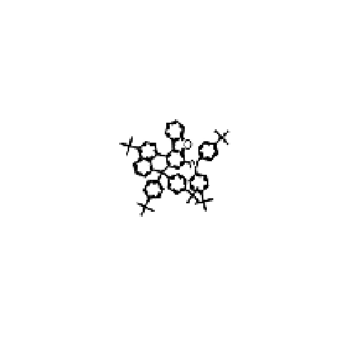 CC(C)(C)c1ccc(N(c2ccc(C(C)(C)C)cc2)c2cc3c(c4c2oc2ccccc24)-c2ccc(C(C)(C)C)c4cccc(c24)C3(c2ccc(C(C)(C)C)cc2)c2ccc(C(C)(C)C)cc2)cc1